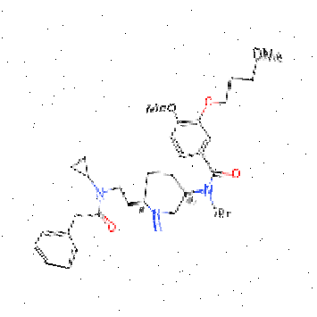 COCCCOc1cc(C(=O)N(C(C)C)[C@@H]2CC[C@H](CCN(C(=O)Cc3ccccc3)C3CC3)NC2)ccc1OC